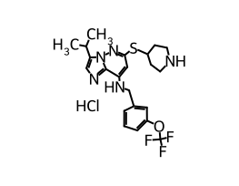 CC(C)c1cnc2c(NCc3cccc(OC(F)(F)F)c3)cc(SC3CCNCC3)nn12.Cl